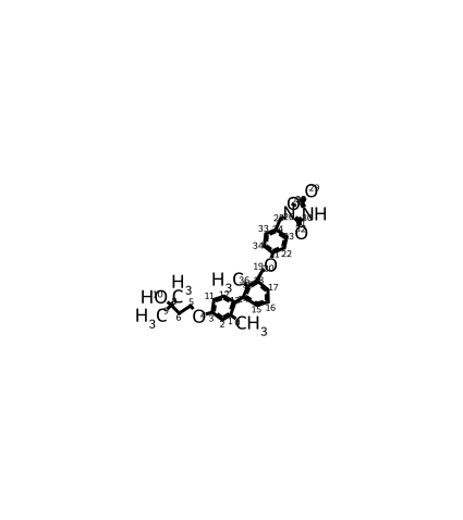 Cc1cc(OCCC(C)(C)O)ccc1-c1cccc(COc2ccc(Cn3oc(=O)[nH]c3=O)cc2)c1C